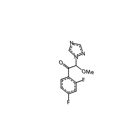 COC(C(=O)c1ccc(F)cc1F)n1cncn1